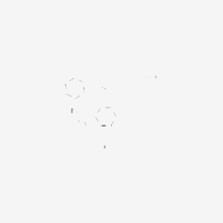 COCCCNC1c2ccccc2NS(=O)(=O)c2cc(SC(C)C)ccc21